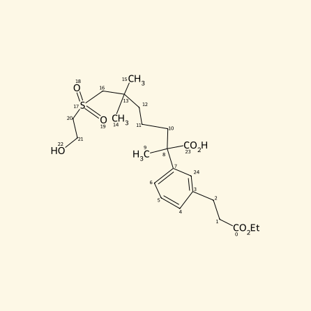 CCOC(=O)CCc1cccc(C(C)(CCCC(C)(C)CS(=O)(=O)CCO)C(=O)O)c1